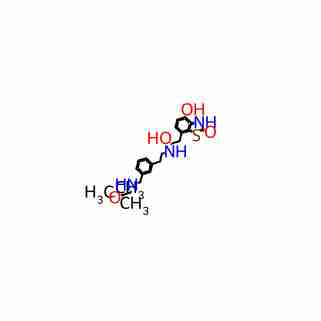 COC(C)(C)CNCc1cccc(CCNC(O)Cc2ccc(O)c3[nH]c(=O)sc23)c1